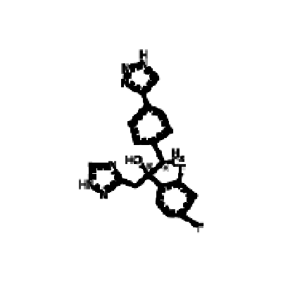 C[C@H](c1ccc(-c2c[nH]nn2)cc1)[C@@](O)(Cc1nc[nH]n1)c1ccc(F)cc1F